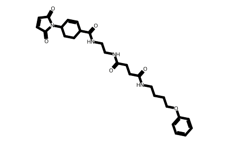 O=C(CCC(=O)NCCNC(=O)C1C=CC(N2C(=O)C=CC2=O)CC1)NCCCCOc1ccccc1